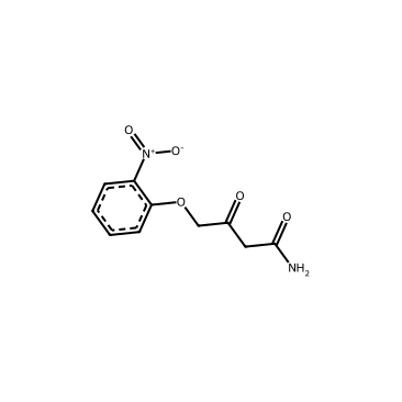 NC(=O)CC(=O)COc1ccccc1[N+](=O)[O-]